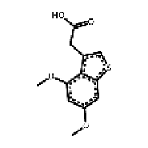 COc1cc(OC)c2c(CC(=O)O)csc2c1